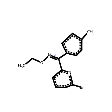 CCO/N=C(/c1ccc(C)cc1)c1cccc(Br)n1